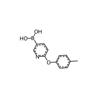 Cc1ccc(Oc2ccc(B(O)O)cn2)cc1